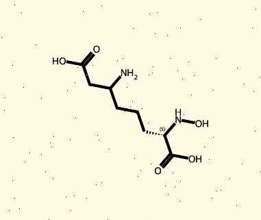 NC(CCC[C@H](NO)C(=O)O)CC(=O)O